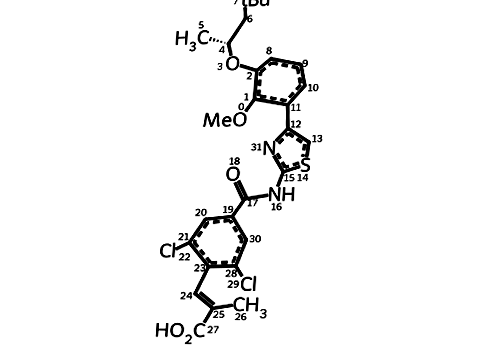 COc1c(O[C@H](C)CC(C)(C)C)cccc1-c1csc(NC(=O)c2cc(Cl)c(C=C(C)C(=O)O)c(Cl)c2)n1